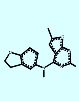 Cc1nc(N(C)c2ccc3c(c2)CCO3)c2cc(C)oc2n1